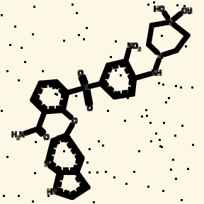 NC(=O)c1cccc(S(=O)(=O)c2ccc(NN3CCS(O)(O)CC3)c([N+](=O)[O-])c2)c1Oc1cnc2[nH]ccc2c1